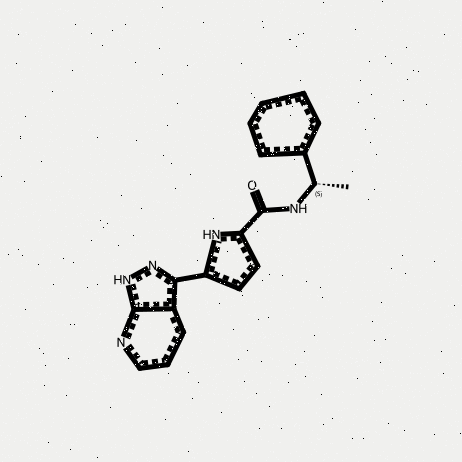 C[C@H](NC(=O)c1ccc(-c2n[nH]c3ncccc23)[nH]1)c1ccccc1